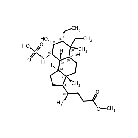 CC[C@H]1[C@@H](O)[C@@H](NS(=O)(=O)O)[C@@H]2[C@H](CC[C@]3(C)[C@@H]([C@H](C)CCC(=O)OC)CC[C@@H]23)[C@@]1(C)CC